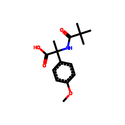 COc1ccc(C(C)(NC(=O)C(C)(C)C)C(=O)O)cc1